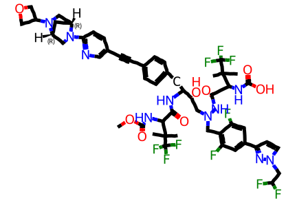 COC(=O)NC(C(=O)NC(Cc1ccc(C#Cc2ccc(N3C[C@H]4C[C@@H]3CN4C3COC3)nc2)cc1)C(O)CN(Cc1c(F)cc(-c2ccn(CC(F)F)n2)cc1F)NC(=O)C(NC(=O)O)C(C)(C)C(F)(F)F)C(C)(C)C(F)(F)F